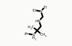 CCN(CC)CNCC(C)(C)[SiH2]C(C)C